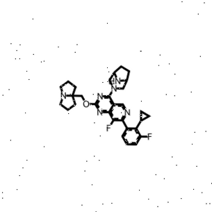 Fc1cccc(-c2ncc3c(N4CC5CCC(C4)N5)nc(OCC45CCCN4CCC5)nc3c2F)c1C1CC1